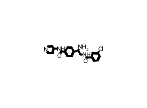 NC(CNC(=O)c1cccc(Cl)c1)c1ccc(C(=O)Nc2ccncc2)cc1